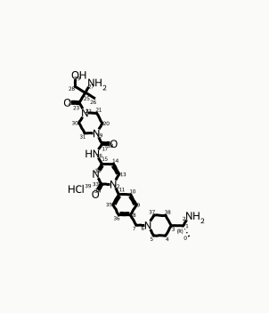 C[C@@H](N)C1CCN(Cc2ccc(-n3ccc(NC(=O)N4CCN(C(=O)C(C)(N)CO)CC4)nc3=O)cc2)CC1.Cl